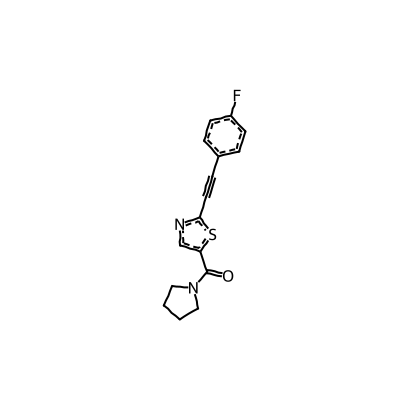 O=C(c1cnc(C#Cc2ccc(F)cc2)s1)N1CCCC1